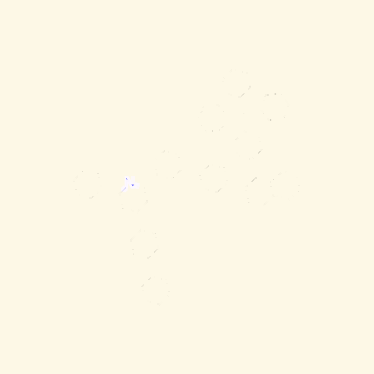 c1ccc(-c2ccc(-c3cc(-c4ccccc4)nc(-c4cccc(-c5cccc(-c6cc7c(cc6-c6cccc8ccccc68)-c6ccccc6C7(c6ccccc6)c6ccccc6)c5)c4)c3)cc2)cc1